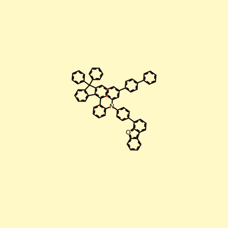 c1ccc(-c2ccc(-c3cccc(N(c4ccc(-c5cccc6c5oc5ccccc56)cc4)c4ccccc4-c4cccc5c4-c4ccccc4C5(c4ccccc4)c4ccccc4)c3)cc2)cc1